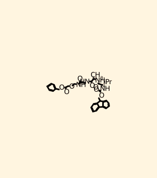 CC(C)[C@H](NC(=O)OCC1c2ccccc2-c2ccccc21)C(=O)N[C@@H](C)C(=O)NCC(=O)NCOCC(=O)OCc1ccccc1